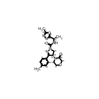 Cc1ccc(C2=NN(C(=O)N[C@H](C)c3nnc(C)o3)C[C@@H]2N2CCOCC2=O)cc1